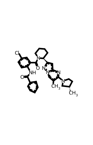 Cc1cn2nc([C@@H]3CCCCN3C(=O)c3cc(Cl)ccc3NC(=O)c3ccccc3)cc2nc1N1CC[C@H](C)C1